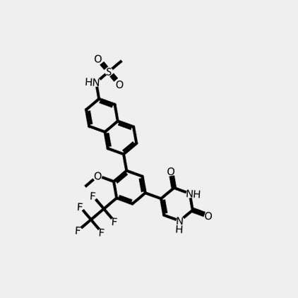 COc1c(-c2ccc3cc(NS(C)(=O)=O)ccc3c2)cc(-c2c[nH]c(=O)[nH]c2=O)cc1C(F)(F)C(F)(F)F